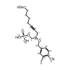 CCCCCCCCCCCCCCC#CC[C@H](COP(=O)(O)O)OCc1ccc(C#N)c(F)c1